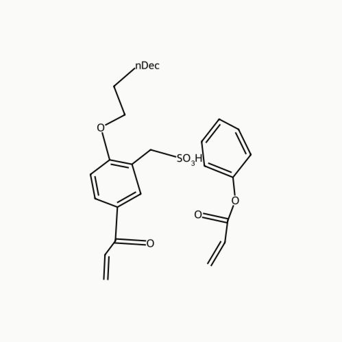 C=CC(=O)Oc1ccccc1.C=CC(=O)c1ccc(OCCCCCCCCCCCC)c(CS(=O)(=O)O)c1